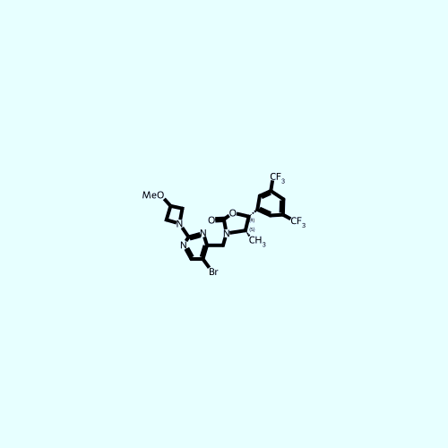 COC1CN(c2ncc(Br)c(CN3C(=O)O[C@H](c4cc(C(F)(F)F)cc(C(F)(F)F)c4)[C@@H]3C)n2)C1